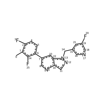 Cc1c(F)ccc(-c2cnc3cnn(Cc4cncc(F)c4)c3c2)c1F